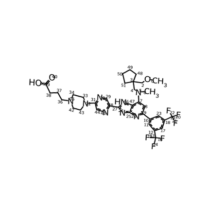 COCC1(CN(C)c2cc(-c3cc(C(F)(F)F)cc(C(F)(F)F)c3)nc3nc(-c4cnc(N5CCN(CCCC(=O)O)CC5)cn4)[nH]c23)CCCC1